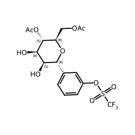 CC(=O)OC[C@H]1O[C@H](c2cccc(OS(=O)(=O)C(F)(F)F)c2)[C@@H](O)[C@@H](O)[C@@H]1OC(C)=O